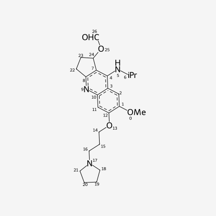 COc1cc2c(NC(C)C)c3c(nc2cc1OCCCN1CCCC1)CCC3OC=O